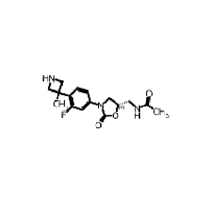 CC(=O)NC[C@H]1CN(c2ccc(C3(C)CNC3)c(F)c2)C(=O)O1